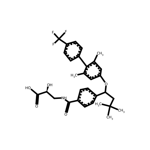 Cc1cc(OC(CC(C)(C)C)c2ccc(C(=O)NC[C@H](O)C(=O)O)cc2)cc(C)c1-c1ccc(C(F)(F)F)cc1